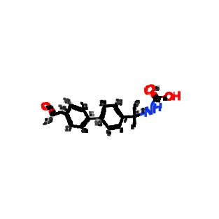 CC(C)(NC(=O)O)c1ccc(-c2ccc(C=O)cc2)cc1